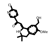 COc1cc2c(cc1CO)/C(=C/C(=O)c1ccc(Cl)nc1)NC(C)(C)C2